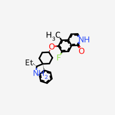 CC[C@@H](N)[C@]1(c2ccccc2)CC[C@@H](Oc2c(F)cc3c(=O)[nH]ccc3c2C)CC1